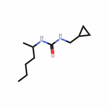 CCCCC(C)NC(=O)NCC1CC1